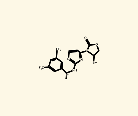 CC(C)C1COC(=O)N1c1ccnc(N[C@@H](C)c2cc(C(F)(F)F)cc(C(F)(F)F)c2)n1